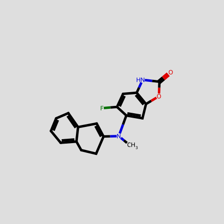 CN(C1=Cc2ccccc2CC1)c1cc2oc(=O)[nH]c2cc1F